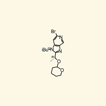 CC[C@H](C)n1c([C@@H](C)OC2CCCCO2)nc2cnc(Br)cc21